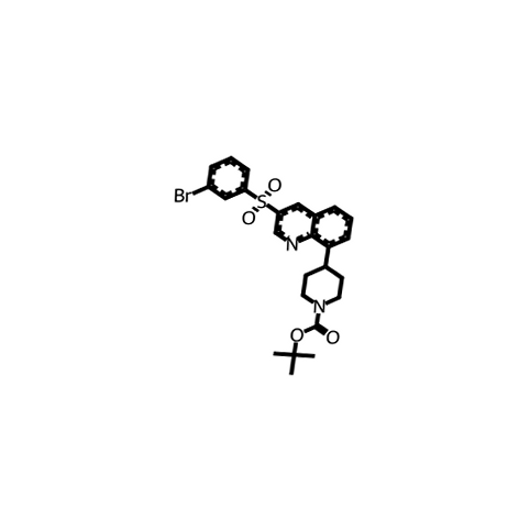 CC(C)(C)OC(=O)N1CCC(c2cccc3cc(S(=O)(=O)c4cccc(Br)c4)cnc23)CC1